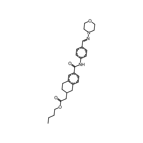 CCCCOC(=O)CC1CCc2cc(C(=O)Nc3ccc(/C=N/N4CCOCC4)cc3)ccc2C1